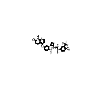 COc1ccc(NC(=O)N[C@@H]2CC[C@H]2c2cc(Oc3ccnc4c3CCC(=O)N4)ccc2O)cc1C(F)(F)F